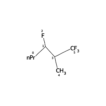 CCCC(F)C(C)C(F)(F)F